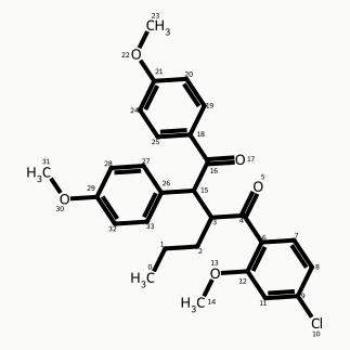 CCCC(C(=O)c1ccc(Cl)cc1OC)C(C(=O)c1ccc(OC)cc1)c1ccc(OC)cc1